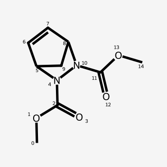 COC(=O)N1C2C=CC(C2)N1C(=O)OC